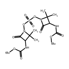 CC(C)(C)OC(=O)NC1C(=O)N(OS(=O)(=O)ON2C(=O)C(NC(=O)OC(C)(C)C)C2(C)C)C1(C)C